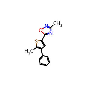 Cc1noc(-c2cc(-c3ccccc3)c(C)s2)n1